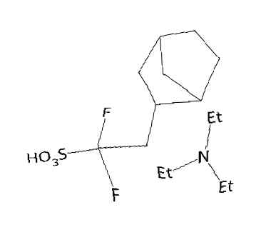 CCN(CC)CC.O=S(=O)(O)C(F)(F)CC1CC2CCC1C2